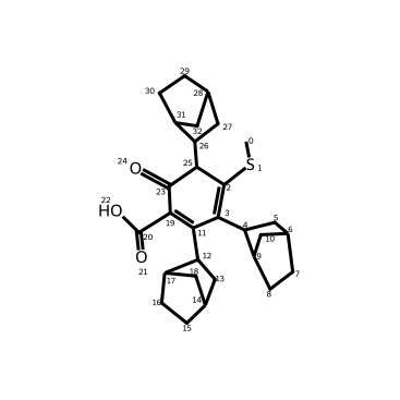 CSC1=C(C2CC3CCC2C3)C(C2CC3CCC2C3)=C(C(=O)O)C(=O)C1C1CC2CCC1C2